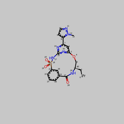 CC(C)C[C@@H]1COc2cc(-c3ccnn3C)nc(n2)NS(=O)(=O)c2cccc(c2)C(=O)N1